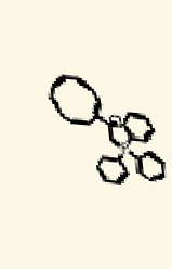 O=C(C=P(c1ccccc1)(c1ccccc1)c1ccccc1)c1ccccccccc1